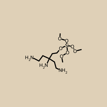 COO[Si](OCCC(N)(CCN)CCN)(OOC)OOC